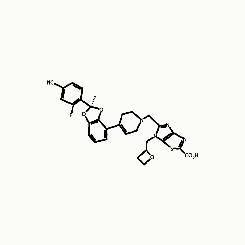 C[C@@]1(c2ccc(C#N)cc2F)Oc2cccc(C3=CCN(Cc4nc5nc(C(=O)O)sc5n4C[C@@H]4CCO4)CC3)c2O1